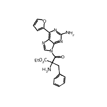 CCOC(=O)C(N)(Cc1ccccc1)C(=O)n1cnc2c(-c3ccco3)nc(N)nc21